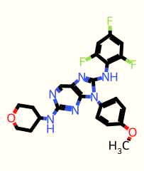 COc1ccc(-n2c(Nc3c(F)cc(F)cc3F)nc3cnc(NC4CCOCC4)nc32)cc1